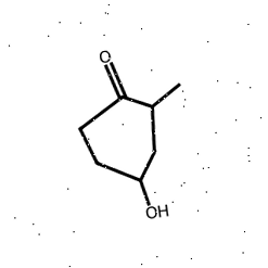 CC1CC(O)CCC1=O